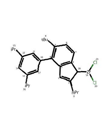 CCCC1=Cc2c(ccc(C(C)(C)C)c2-c2cc(C(C)C)cc(C(C)C)c2)[CH]1[Zr]([Cl])[Cl]